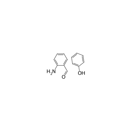 Nc1ccccc1C=O.Oc1ccccc1